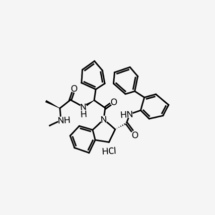 CN[C@@H](C)C(=O)N[C@H](C(=O)N1c2ccccc2C[C@H]1C(=O)Nc1ccccc1-c1ccccc1)c1ccccc1.Cl